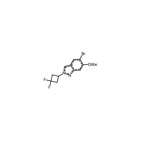 COc1cc2nn(C3CC(F)(F)C3)cc2cc1Br